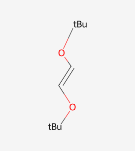 CC(C)(C)O/C=C/OC(C)(C)C